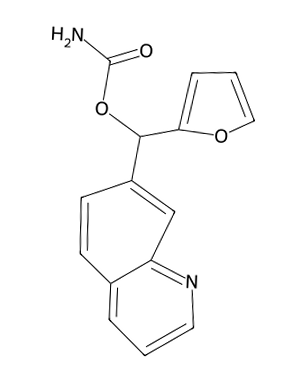 NC(=O)OC(c1ccc2cccnc2c1)c1ccco1